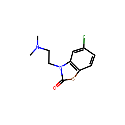 CN(C)CCn1c(=O)sc2ccc(Cl)cc21